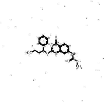 CCCC(Oc1nc2cc(NC(=O)OC)ccc2c(=O)o1)c1ccccc1